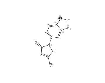 O=C1[C]=C(O)CN1c1ccc2[nH]cnc2c1